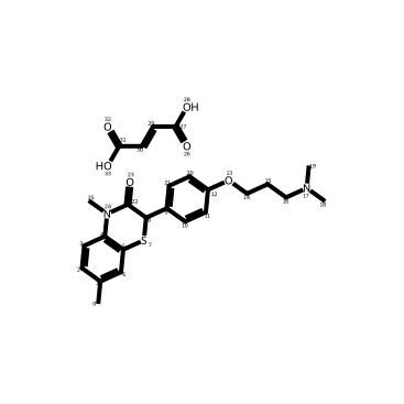 Cc1ccc2c(c1)SC(c1ccc(OCCCN(C)C)cc1)C(=O)N2C.O=C(O)C=CC(=O)O